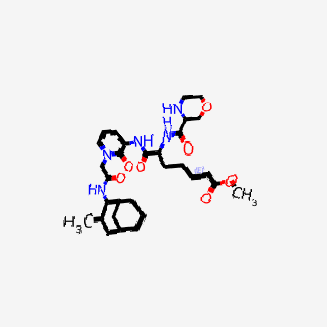 COC(=O)/C=C/CCC(NC(=O)C1COCCN1)C(=O)Nc1cccn(CC(=O)NC2C(C)CC3CCCC2C3)c1=O